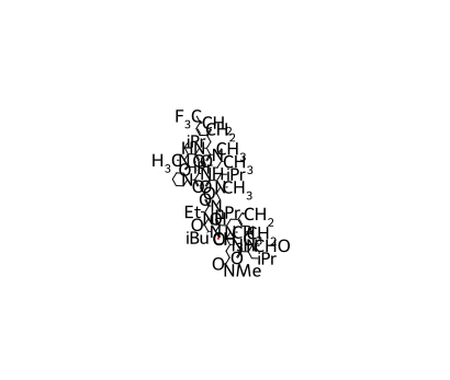 C=C/C=C(\C=C)CC(C(=O)N(C)C(C(=O)NC(CC)C(=O)N(CCC)CC(=O)N(C)C(CC(C)C)C(=O)N[C@@H](CC(=O)N(C)C(CC(C)C)C(=O)NC(CC(=C)/C=C\C(=C)C(F)(F)F)C(=O)N(C)C(C)CC(C)C)C(=O)N1CCCCC1)[C@@H](C)CC)N(C)C(=O)C(CCC(=O)NC)NC(=O)C(CC(C)C)N(C)C=O